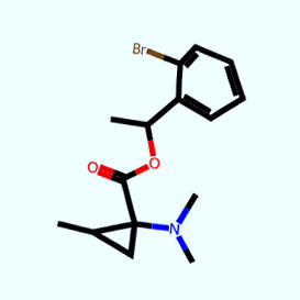 CC(OC(=O)C1(N(C)C)CC1C)c1ccccc1Br